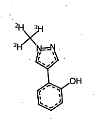 [2H]C([2H])([2H])n1cc(-c2ccccc2O)cn1